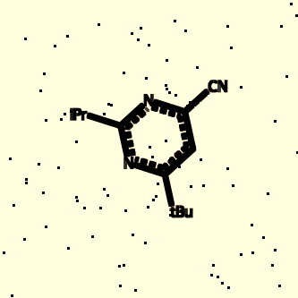 CC(C)c1nc(C#N)cc(C(C)(C)C)n1